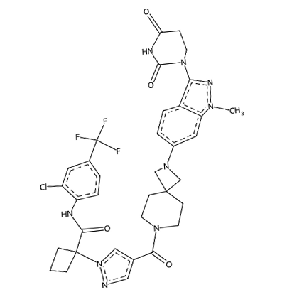 Cn1nc(N2CCC(=O)NC2=O)c2ccc(N3CC4(CCN(C(=O)c5cnn(C6(C(=O)Nc7ccc(C(F)(F)F)cc7Cl)CCC6)c5)CC4)C3)cc21